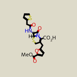 COC(=O)c1ccc(CC2=C(C(=O)O)N3C(=O)[C@@H](NC(=O)Cc4cccs4)[C@@H]3SC2)o1